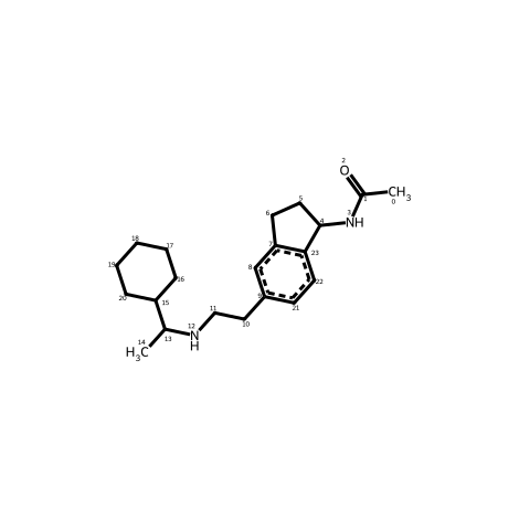 CC(=O)NC1CCc2cc(CCNC(C)C3CCCCC3)ccc21